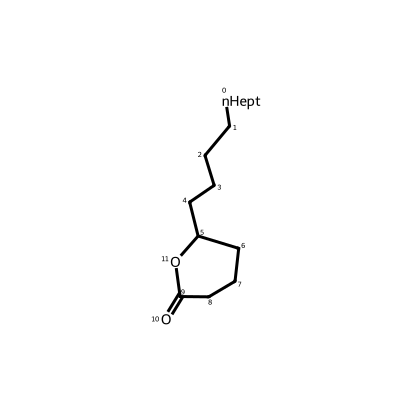 CCCCCCCCCCCC1CCCC(=O)O1